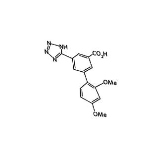 COc1ccc(-c2cc(C(=O)O)cc(-c3nnn[nH]3)c2)c(OC)c1